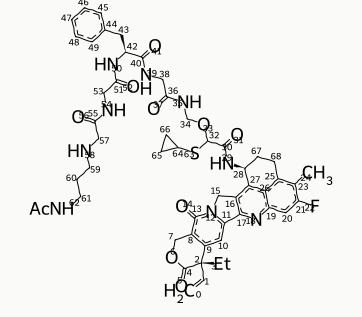 C=C[C@]1(CC)C(=O)OCc2c1cc1n(c2=O)Cc2c-1nc1cc(F)c(C)c3c1c2[C@@H](NC(=O)C(OCNC(=O)CNC(=O)[C@H](Cc1ccccc1)NC(=O)CNC(=O)CNCCCNC(C)=O)SC1CC1)CC3